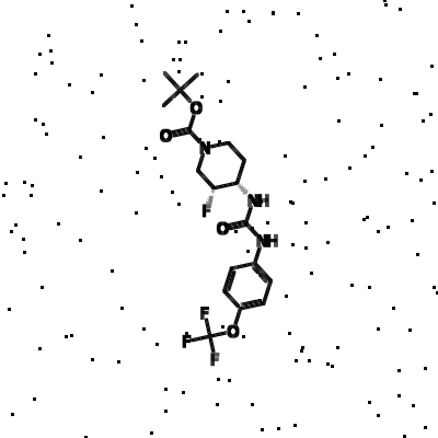 CC(C)(C)OC(=O)N1CC[C@H](NC(=O)Nc2ccc(OC(F)(F)F)cc2)[C@H](F)C1